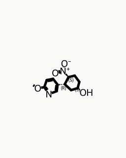 COc1ccc([C@H]2C[C@@H](O)CC[C@@H]2[N+](=O)[O-])cn1